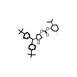 CC(C)[C@H]1CC[C@H](C)C[C@@H]1OC(=O)O[C@H]1CN[C@@H](C(c2ccc(C(C)(C)C)cc2)c2ccc(C(C)(C)C)cc2)C1